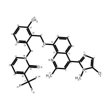 Cc1cc(-c2ncc(Cl)n2C)c2cccc(OCc3c(C)ccnc3Cn3cccc(C(F)(F)F)c3=O)c2n1